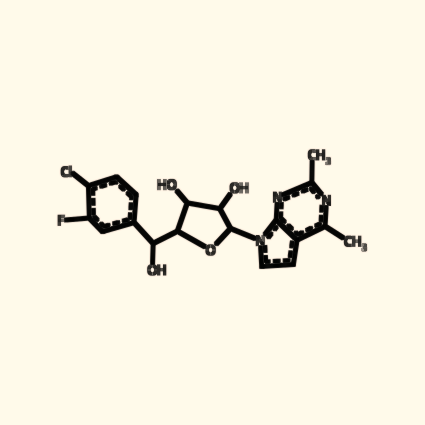 Cc1nc(C)c2ccn(C3OC(C(O)c4ccc(Cl)c(F)c4)C(O)C3O)c2n1